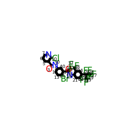 CN(C(=O)c1cccnc1Cl)c1cccc(C(=O)N(Br)c2ccc(C(F)(C(F)(F)F)C(F)(F)F)cc2C(F)(F)F)c1